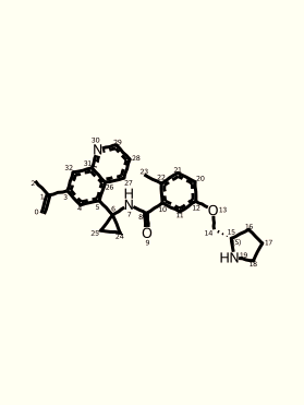 C=C(C)c1cc(C2(NC(=O)c3cc(OC[C@@H]4CCCN4)ccc3C)CC2)c2cccnc2c1